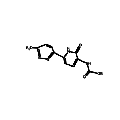 Cc1ccc(-c2ccc(NC(=O)O)c(=O)[nH]2)nn1